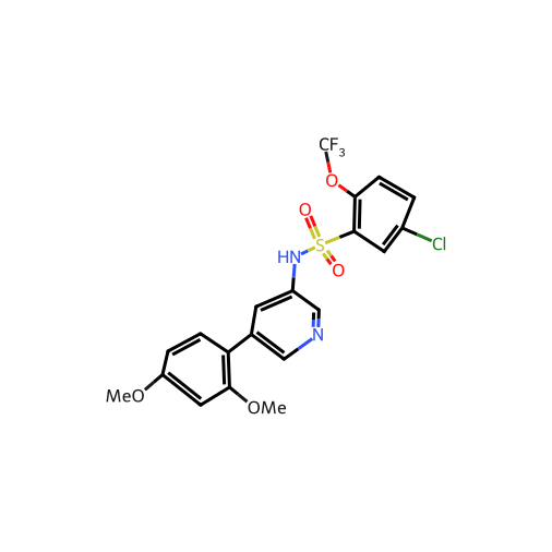 COc1ccc(-c2cncc(NS(=O)(=O)c3cc(Cl)ccc3OC(F)(F)F)c2)c(OC)c1